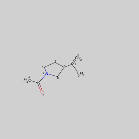 C=C(C)C1CCN(C(C)=O)C1